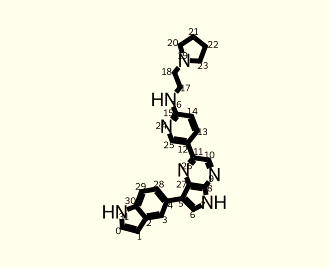 c1cc2cc(-c3c[nH]c4ncc(-c5ccc(NCCN6CCCC6)nc5)nc34)ccc2[nH]1